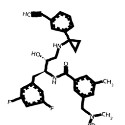 C#Cc1cccc(C2(NC[C@@H](O)[C@H](Cc3cc(F)cc(F)c3)NC(=O)c3cc(C)cc(CN(C)CCCC)c3)CC2)c1